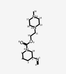 C=N[C@H]1CCCN(C(=O)OCCN2CCN(C)CC2)C1